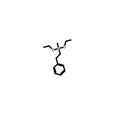 CCO[Si](C)(CCc1ccccc1)OCC